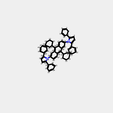 C1=CCC(c2ccc(-c3ccccc3)n2-c2ccc3c(C4CCCCC4)c4cc(-n5c(-c6ccccc6)ccc5-c5ccccc5)ccc4c(C4CCCCC4)c3c2)C=C1